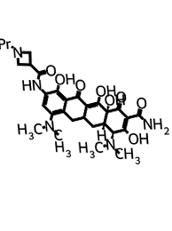 CC(C)N1CC(C(=O)Nc2cc(N(C)C)c3c(c2O)C(=O)C2=C(O)[C@]4(O)C(=O)C(C(N)=O)=C(O)[C@@H](N(C)C)[C@@H]4CC2C3)C1